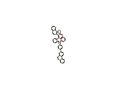 c1ccc(N(c2ccc(-c3ccc4c(ccc5ccccc54)c3)cc2)c2ccccc2-c2cccc3oc4c5ccccc5ccc4c23)cc1